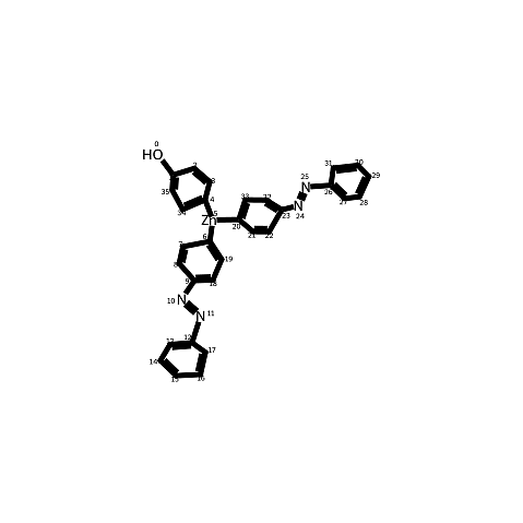 Oc1cc[c]([Zn]([c]2ccc(/N=N/c3ccccc3)cc2)[c]2ccc(/N=N/c3ccccc3)cc2)cc1